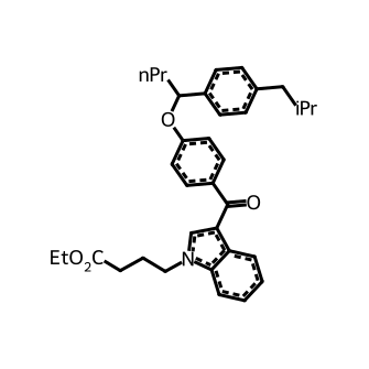 CCCC(Oc1ccc(C(=O)c2cn(CCCC(=O)OCC)c3ccccc23)cc1)c1ccc(CC(C)C)cc1